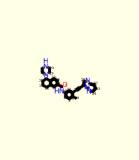 Cc1ccc(NC(=O)c2ccc3c(c2)CCCC3N2CCNCC2)cc1C#Cc1cnc2cccnn12